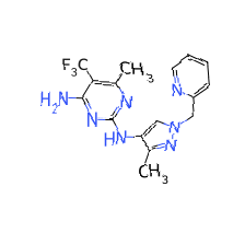 Cc1nn(Cc2ccccn2)cc1Nc1nc(C)c(C(F)(F)F)c(N)n1